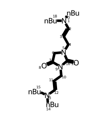 CCCCN(C=CCN1CC(=O)N(CC=CN(CCCC)CCCC)C1=O)CCCC